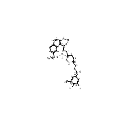 COc1ccc2ncc(CO)c([C@@H](F)CCC3(C(=O)O)CCN(CCNc4cc(F)c(F)c(F)c4)CC3)c2c1